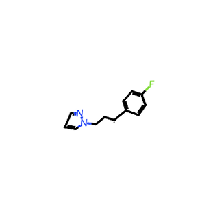 Fc1ccc([CH]CCn2cccn2)cc1